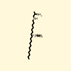 CCCCCCCCCCCCCCCCCCNCC(C)N.Cl.Cl.N.N